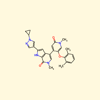 Cc1cccc(C)c1Oc1cn(C)c(=O)cc1-c1cn(C)c(=O)c2[nH]c(-c3cnn(C4CC4)c3)cc12